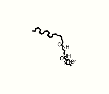 CC/C=C\C/C=C\C/C=C\C/C=C\C/C=C\C/C=C\CCC(=O)NCCCNC(=O)c1c[n+]([O-])c(C)cn1